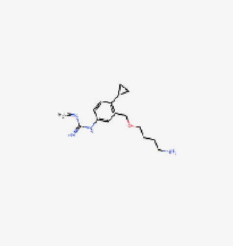 C=NC(=N)Nc1ccc(C2CC2)c(COCCCCN)c1